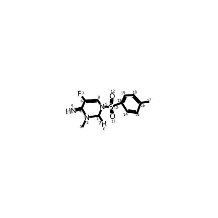 [2H]C1N(C)C(=N)C(F)=CN1S(=O)(=O)c1ccc(C)cc1